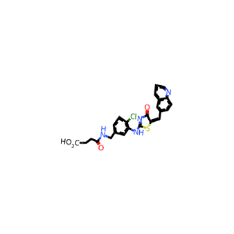 O=C(O)CCC(=O)NCc1ccc(Cl)c(NC2=NC(=O)C(=Cc3ccc4ncccc4c3)S2)c1